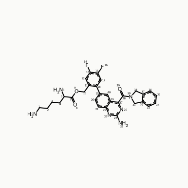 NCCCCC(N)C(=O)OCc1cc(F)c(F)cc1-c1ccc2nc(N)nc(C(=O)N3Cc4ccccc4C3)c2c1